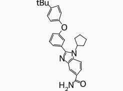 CC(C)(C)c1ccc(Oc2cccc(-c3nc4cc(C(N)=O)ccc4n3C3CCCC3)c2)cc1